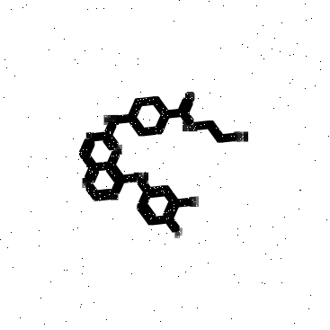 O=C(NCCO)C1CCC(Nc2ncc3ncnc(Nc4ccc(F)c(Cl)c4)c3n2)CC1